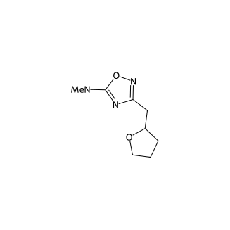 CNc1nc(CC2CCCO2)no1